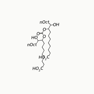 CCCCCCCCC(O)C(CCCCCCCC(=O)O)OC(=O)OC(CCCCCCCC(=O)O)C(O)CCCCCCCC